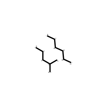 [CH2]CCC([CH2])C.[CH2]CCCC[CH2]